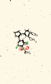 Cc1cc(C2=C(c3cc(F)c(S(C)(=O)=O)c(F)c3)CC=C2)ccc1C#N